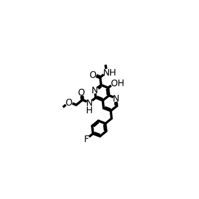 CNC(=O)c1nc(NC(=O)COC)c2cc(Cc3ccc(F)cc3)cnc2c1O